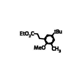 CCOC(=O)CCc1cc(C(C)(C)C)cc(C)c1OC